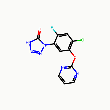 O=c1[nH]nnn1-c1cc(Oc2ncccn2)c(Cl)cc1F